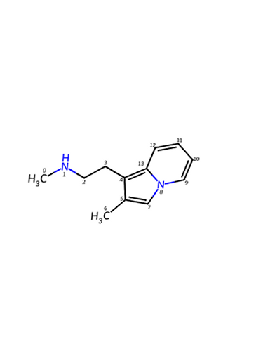 CNCCc1c(C)cn2ccccc12